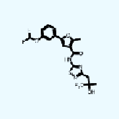 Cc1oc(-c2cccc(OC(F)F)c2)cc1C(=O)Nc1nc(CC(C)(O)C(F)(F)F)ns1